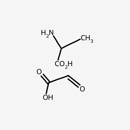 CC(N)C(=O)O.O=CC(=O)O